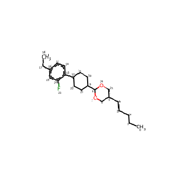 CCCCCC1COC(C2CCC(c3ccc(CC)cc3F)CC2)OC1